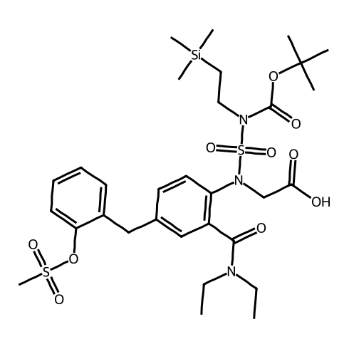 CCN(CC)C(=O)c1cc(Cc2ccccc2OS(C)(=O)=O)ccc1N(CC(=O)O)S(=O)(=O)N(CC[Si](C)(C)C)C(=O)OC(C)(C)C